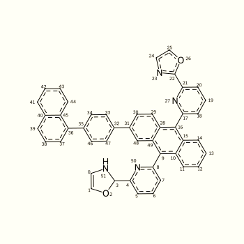 C1=COC(c2cccc(-c3c4ccccc4c(-c4cccc(-c5ncco5)n4)c4ccc(-c5ccc(-c6cccc7ccccc67)cc5)cc34)n2)N1